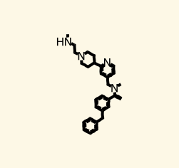 C=C(c1cccc(Cc2ccccc2)c1)N(C)Cc1ccnc(C2CCN(CCNC)CC2)c1